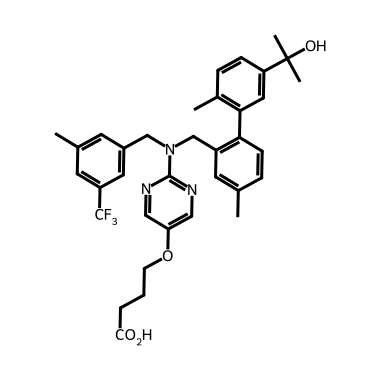 Cc1cc(CN(Cc2cc(C)ccc2-c2cc(C(C)(C)O)ccc2C)c2ncc(OCCCC(=O)O)cn2)cc(C(F)(F)F)c1